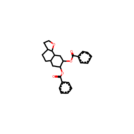 O=C(OC1CC2CCC3CCOC3C2CC1OC(=O)c1ccccc1)c1ccccc1